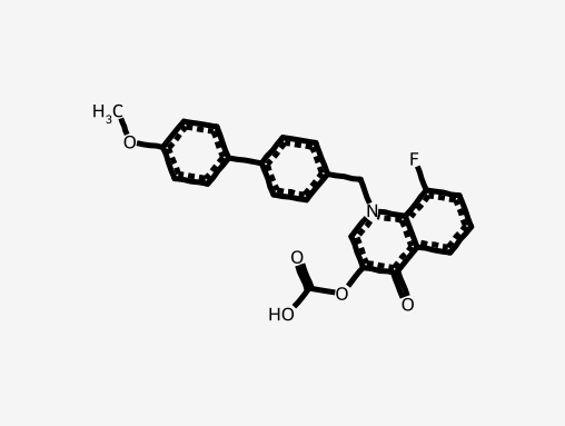 COc1ccc(-c2ccc(Cn3cc(OC(=O)O)c(=O)c4cccc(F)c43)cc2)cc1